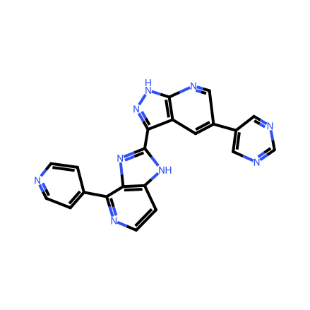 c1cc(-c2nccc3[nH]c(-c4n[nH]c5ncc(-c6cncnc6)cc45)nc23)ccn1